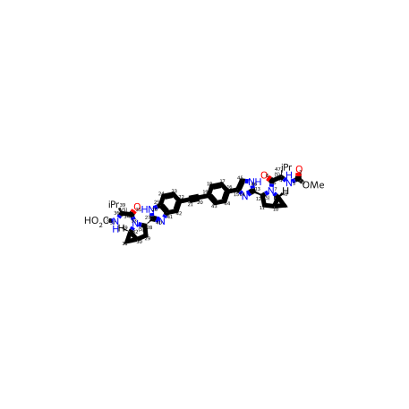 COC(=O)N[C@H](C(=O)N1[C@@H]2CC2C[C@H]1c1nc(-c2ccc(C#Cc3ccc4[nH]c([C@@H]5CC6C[C@H]6N5C(=O)[C@@H](NC(=O)O)C(C)C)nc4c3)cc2)c[nH]1)C(C)C